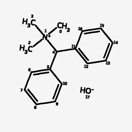 C[N+](C)(C)C(c1ccccc1)c1ccccc1.[OH-]